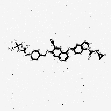 CC(C)(C)OC(=O)ON1CCC(COc2cc3nccc(Oc4ccc5c(ccn5C(=O)NC5CC5)c4)c3cc2C#N)CC1